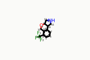 FC(F)(F)c1cccc2c1COC1CNCC21